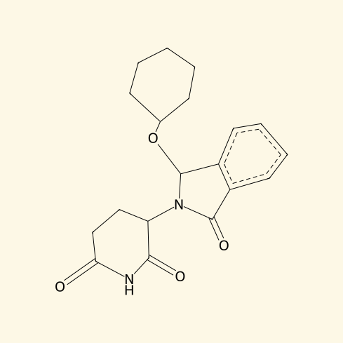 O=C1CCC(N2C(=O)c3ccccc3C2OC2CCCCC2)C(=O)N1